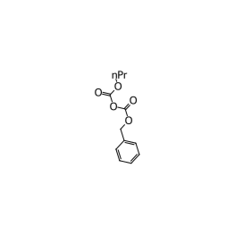 CCCOC(=O)OC(=O)OCc1ccccc1